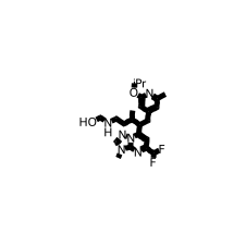 Cc1cc(CC(C2=CC(C(F)F)=NC3N(C)C=NN23)C(C)CCNCO)cc(OC(C)C)n1